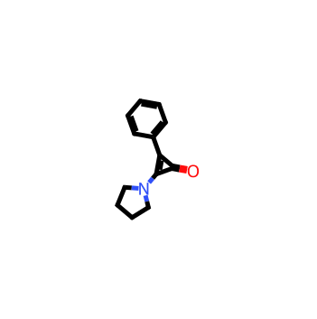 O=c1c(-c2ccccc2)c1N1CCCC1